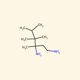 C[C](C)C(C)(C)C(C)(N)CCN